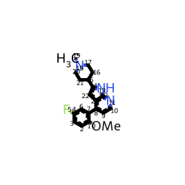 COc1ccc(F)cc1-c1ccnc2[nH]c(C3CCN(C)CC3)cc12